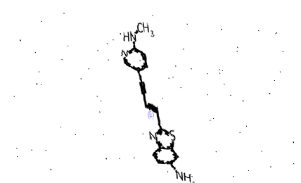 CNc1ccc(C#C/C=C/c2nc3ccc(N)cc3s2)cn1